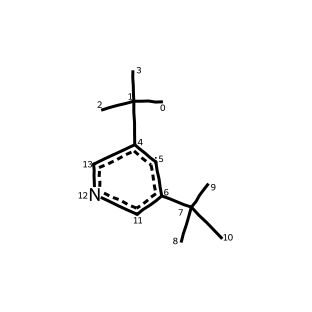 CC(C)(C)c1[c]c(C(C)(C)C)cnc1